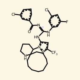 O=C(/N=C(/Nc1cc(F)cc(Cl)c1)Nc1cc(C(F)(F)F)nn1C1CCCNC12CCCCCCCCC2)c1cccc(Cl)c1